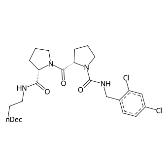 CCCCCCCCCCCCNC(=O)[C@@H]1CCCN1C(=O)[C@@H]1CCCN1C(=O)NCc1ccc(Cl)cc1Cl